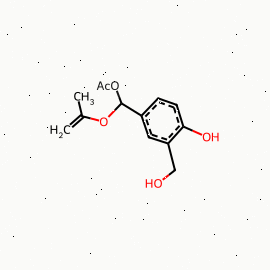 C=C(C)OC(OC(C)=O)c1ccc(O)c(CO)c1